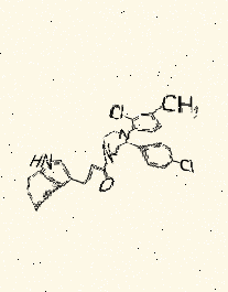 Cc1ccc(N2CCN(C(=O)/C=C/c3c[nH]c4ccccc34)CC2c2ccc(Cl)cc2)c(Cl)c1